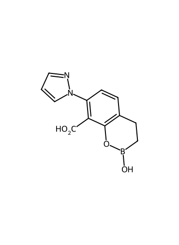 O=C(O)c1c(-n2cccn2)ccc2c1OB(O)CC2